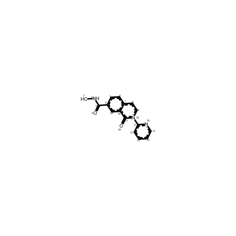 O=C(NO)c1ccc2ccn(-c3ccccn3)c(=O)c2c1